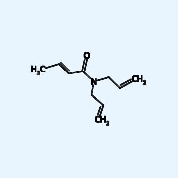 C=CCN(CC=C)C(=O)/C=C/C